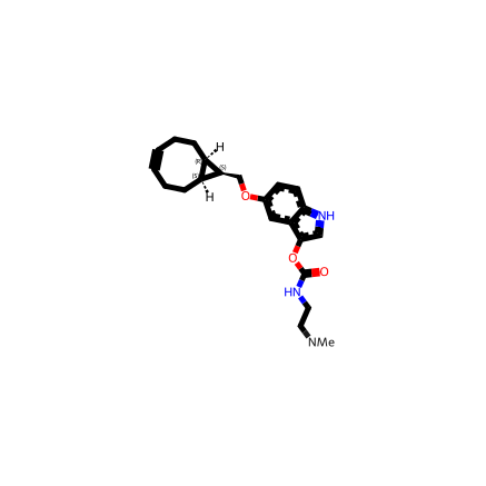 CNCCNC(=O)Oc1c[nH]c2ccc(OC[C@@H]3[C@@H]4CCC#CCC[C@@H]43)cc12